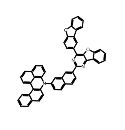 c1ccc2c3c(ccc2c1)N(c1ccc2ccc(-c4nc(-c5ccc6oc7ccccc7c6c5)c5oc6ccccc6c5n4)cc2c1)c1cccc2cccc-3c12